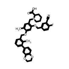 Cc1cc(CN2CCCCC2C(=O)O)c(OCc2ccc(F)c(C#N)c2)cc1OCc1cccc(-c2ccc3c(c2)OCCO3)c1C